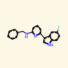 Fc1ccc2[nH]cc(-c3cccc(NCc4ccccc4)n3)c2c1